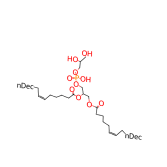 CCCCCCCCCCC/C=C\CCCCC(=O)OCC(COP(=O)(O)OCC(O)CO)OC(=O)CCCC/C=C\CCCCCCCCCCC